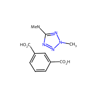 CNc1nnn(C)n1.O=C(O)c1cccc(C(=O)O)c1